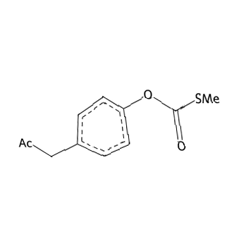 CSC(=O)Oc1ccc(CC(C)=O)cc1